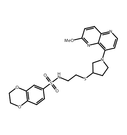 COc1ccc2nccc(N3CCC(SCCNS(=O)(=O)c4ccc5c(c4)OCCO5)C3)c2n1